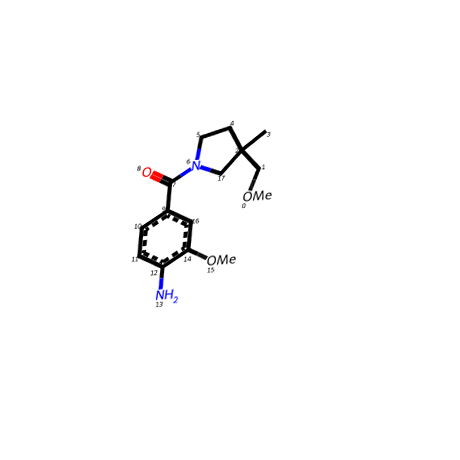 COCC1(C)CCN(C(=O)c2ccc(N)c(OC)c2)C1